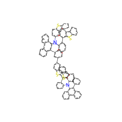 c1ccc(-c2c(N(c3ccccc3-c3cccc4c3sc3ccc(-c5cccc(-c6c(N(c7ccc8sc9ccccc9c8c7)c7ccccc7-c7cccc8c7sc7ccccc78)c7ccccc7c7ccccc67)c5)cc34)c3cccc4c3sc3ccccc34)c3ccccc3c3ccccc23)cc1